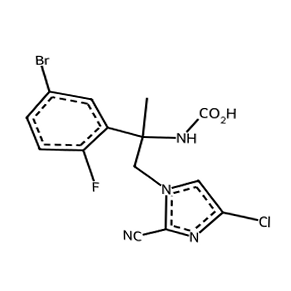 CC(Cn1cc(Cl)nc1C#N)(NC(=O)O)c1cc(Br)ccc1F